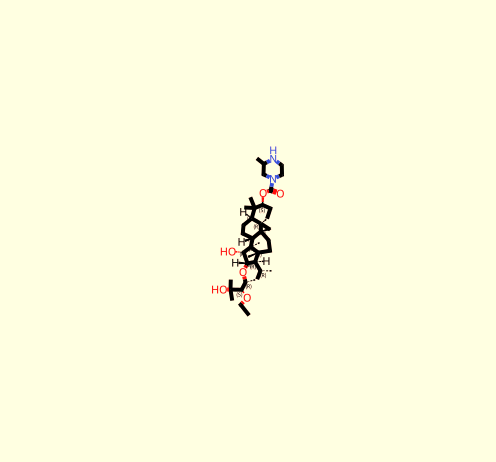 CCO[C@@H]([C@H]1C[C@@H](C)[C@H]2[C@H](O1)[C@H](O)[C@@]1(C)[C@@H]3CC[C@H]4C(C)(C)[C@@H](OC(=O)N5CCNC(C)C5)CC[C@@]45C[C@@]35CC[C@]21C)C(C)(C)O